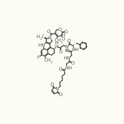 C=C1C2=C(CN1C(=O)C1=C(C)C(O)C(=O)OC1)C1=C3C(=C(C)C(F)=CC3N2)CC[C@@H]1NC(=O)CNC(=O)[C@H](Cc1ccccc1)NC(=O)CNC(=O)CNC(=O)CCCCCN1C(=O)C=CC1=O